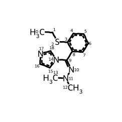 CCSc1ccccc1C(=NN(C)C)n1ccnc1